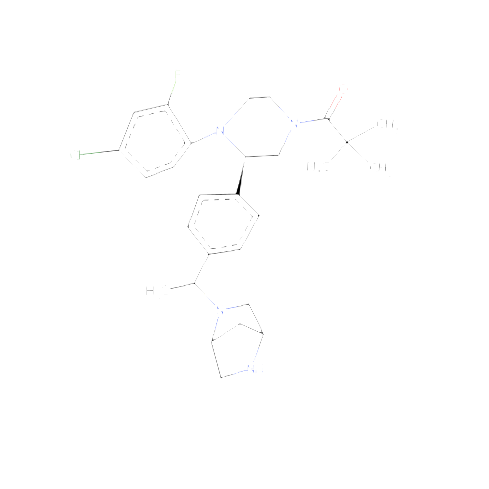 CC(c1ccc([C@@H]2CN(C(=O)C(C)(C)C)CCN2c2ccc(Cl)cc2F)cc1)N1CC2CC1CN2